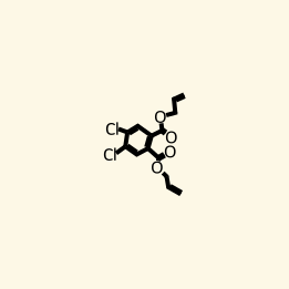 C=CCOC(=O)c1cc(Cl)c(Cl)cc1C(=O)OCC=C